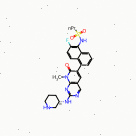 CCCS(=O)(=O)Nc1c(F)ccc2c(-c3cc4cnc(N[C@H]5CCCNC5)nc4n(C)c3=O)cccc12